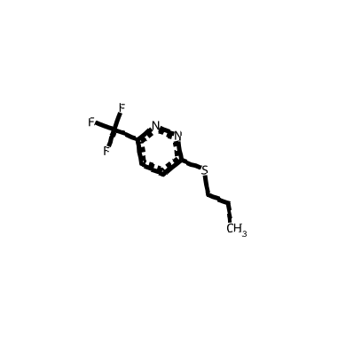 CCCSc1ccc(C(F)(F)F)nn1